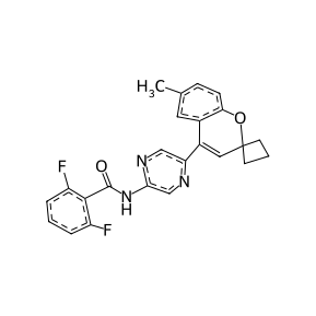 Cc1ccc2c(c1)C(c1cnc(NC(=O)c3c(F)cccc3F)cn1)=CC1(CCC1)O2